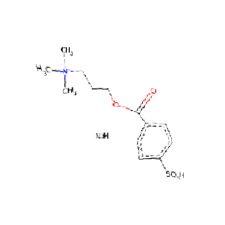 C[N+](C)(C)CCCOC(=O)c1ccc(S(=O)(=O)O)cc1.[NaH]